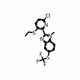 CCSc1ccc(Cl)nc1-c1nc2cc(SC(F)(F)F)ccc2n1C